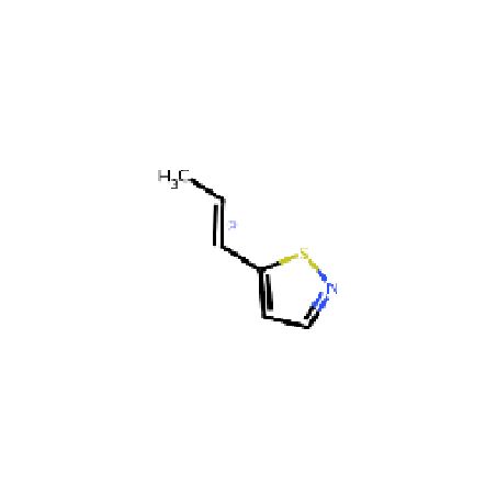 C/C=C/c1ccns1